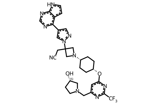 N#CCC1(n2cc(-c3ncnc4[nH]ccc34)cn2)CN([C@H]2CC[C@@H](Oc3cc(CN4CC[C@H](O)C4)nc(C(F)(F)F)n3)CC2)C1